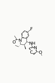 CC[C@H]1[C@H](C)C(Nc2cccc(OC)n2)c2cc(F)ccc2N1C(C)=O